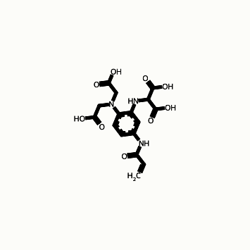 C=CC(=O)Nc1ccc(N(CC(=O)O)CC(=O)O)c(NC(C(=O)O)C(=O)O)c1